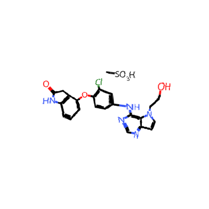 CS(=O)(=O)O.O=C1Cc2c(cccc2Oc2ccc(Nc3ncnc4ccn(CCO)c34)cc2Cl)N1